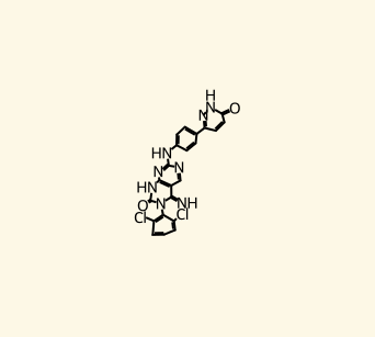 N=c1c2cnc(Nc3ccc(-c4ccc(=O)[nH]n4)cc3)nc2[nH]c(=O)n1-c1c(Cl)cccc1Cl